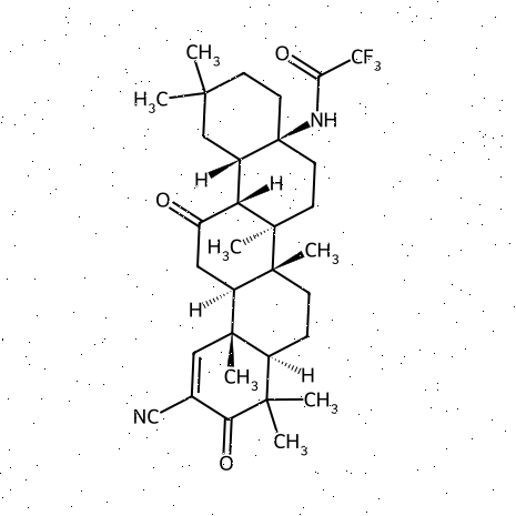 CC1(C)CC[C@]2(NC(=O)C(F)(F)F)CC[C@]3(C)[C@H](C(=O)C[C@@H]4[C@@]5(C)C=C(C#N)C(=O)C(C)(C)[C@@H]5CC[C@]43C)[C@@H]2C1